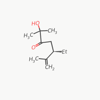 C=C(C)[C@H](CC)CC(=O)C(C)(C)O